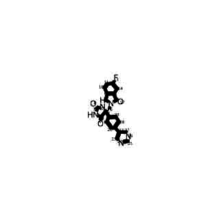 O=C1NC(=O)[C@](CN2Cc3ccc(F)cc3C2=O)(c2ccc(-c3cncnc3)cc2)N1